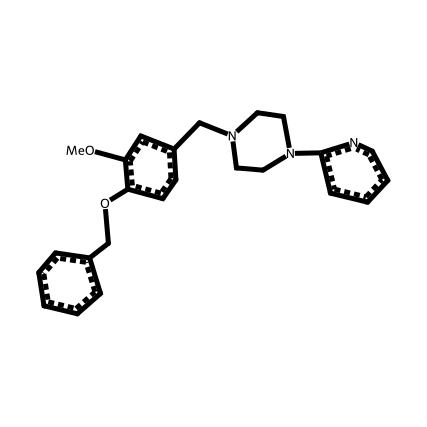 COc1cc(CN2CCN(c3ccccn3)CC2)ccc1OCc1ccccc1